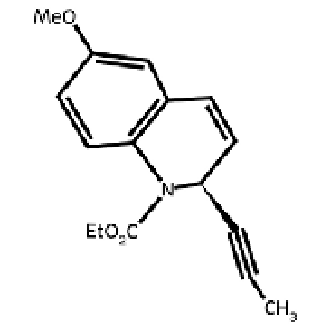 CC#C[C@@H]1C=Cc2cc(OC)ccc2N1C(=O)OCC